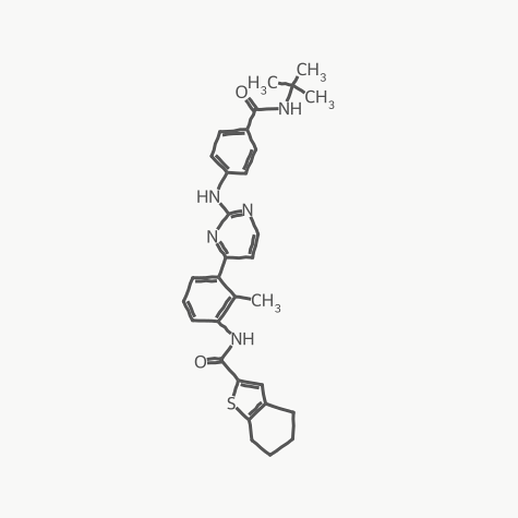 Cc1c(NC(=O)c2cc3c(s2)CCCC3)cccc1-c1ccnc(Nc2ccc(C(=O)NC(C)(C)C)cc2)n1